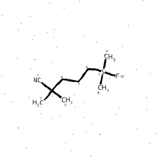 CC(C)(C#N)CCCS(C)(C)F